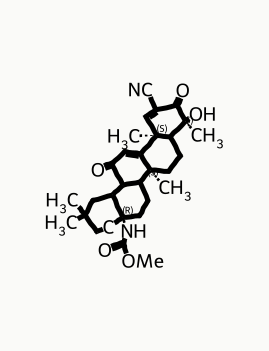 COC(=O)N[C@@]12CCC3C(C(=O)C=C4[C@@]5(C)C=C(C#N)C(=O)[C@@](C)(O)C5CC[C@]43C)C1CC(C)(C)CC2